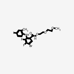 COCCOCCONC(=O)c1cc(Br)c(F)c(F)c1Nc1ccc(I)cc1C